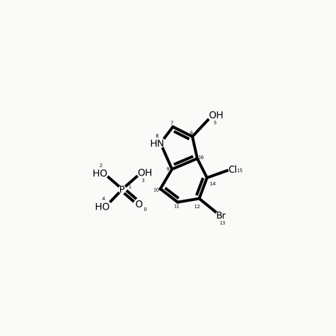 O=P(O)(O)O.Oc1c[nH]c2ccc(Br)c(Cl)c12